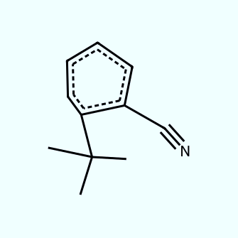 CC(C)(C)c1ccccc1C#N